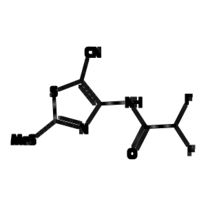 CSc1nc(NC(=O)C(F)F)c(C#N)s1